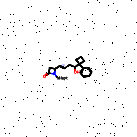 CCCCCCCN1C(=O)CC1/C=C/CC(O)C1(c2ccccc2)CCC1